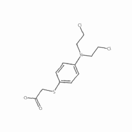 [O]C(=O)CSc1ccc(N(CCCl)CCCl)cc1